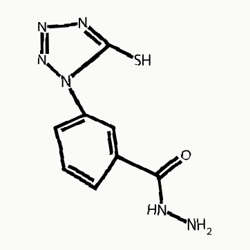 NNC(=O)c1cccc(-n2nnnc2S)c1